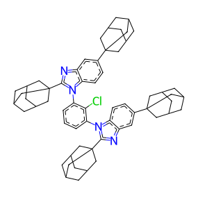 Clc1c(-n2c(C34CC5CC(CC(C5)C3)C4)nc3cc(C45CC6CC(CC(C6)C4)C5)ccc32)cccc1-n1c(C23CC4CC(CC(C4)C2)C3)nc2cc(C34CC5CC(CC(C5)C3)C4)ccc21